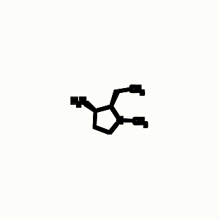 CC[C@@H]1[C@H](N)CCN1C